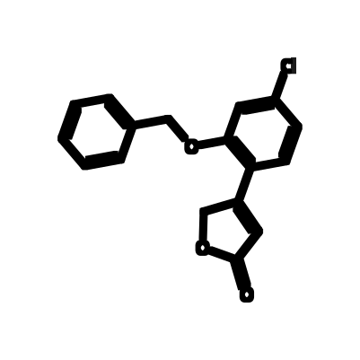 O=C1C=C(c2ccc(Cl)cc2OCc2ccccc2)CO1